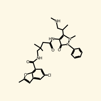 CNCC(C)c1c(NC(=O)CC(C)(C)CNC(=O)c2cc(Cl)cc3cc(C)oc23)c(=O)n(-c2ccccc2)n1C